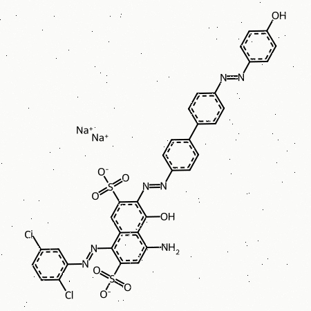 Nc1cc(S(=O)(=O)[O-])c(N=Nc2cc(Cl)ccc2Cl)c2cc(S(=O)(=O)[O-])c(N=Nc3ccc(-c4ccc(N=Nc5ccc(O)cc5)cc4)cc3)c(O)c12.[Na+].[Na+]